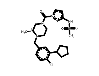 C[C@H]1CN(C(=O)n2ccc(NS(C)(=O)=O)n2)CCN1Cc1ccc(Cl)c(C2CCCC2)c1